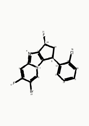 Fc1cc2nc3c(n2cc1Br)[C@H](c1ccccc1Cl)C[C@@H]3F